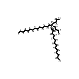 CCCCCCCCCCCCCC[PH](CCCC)(CCCC)CCCCCCCCCCCCCC